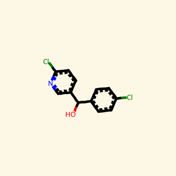 OC(c1ccc(Cl)cc1)c1ccc(Cl)nc1